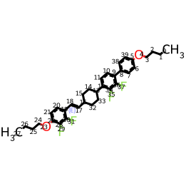 CCCCOc1ccc(-c2ccc(C3CCC(/C=C/c4ccc(OCCCC)c(F)c4F)CC3)c(F)c2F)cc1